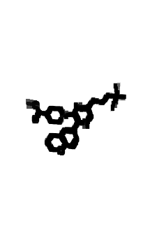 CC(F)(F)CCCc1cnc(-c2ccc3c(c2)CCCO3)c(N2CCC(C(=O)O)CC2)n1